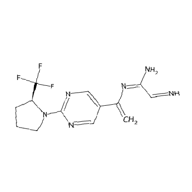 C=C(/N=C(/N)C=N)c1cnc(N2CCC[C@H]2C(F)(F)F)nc1